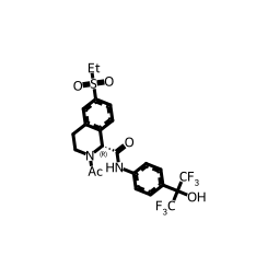 CCS(=O)(=O)c1ccc2c(c1)CCN(C(C)=O)[C@H]2C(=O)Nc1ccc(C(O)(C(F)(F)F)C(F)(F)F)cc1